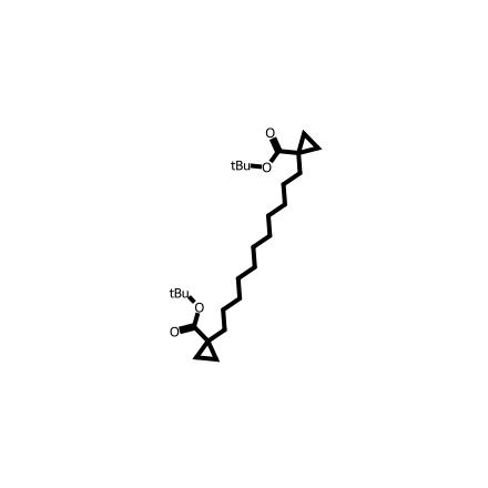 CC(C)(C)OC(=O)C1(CCCCCCCCCCCC2(C(=O)OC(C)(C)C)CC2)CC1